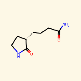 NC(=O)CCC[C@H]1CCNC1=O